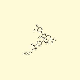 CCCC(c1ccc(C(=O)NCCC(=O)O)cc1)N1C(=O)C(c2ccc(F)c(F)c2)=NC12CCC(C(C)(C)CC)CC2